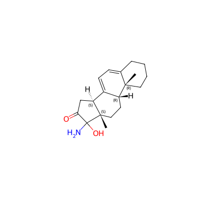 C[C@]12CCCCC1=CC=C1[C@H]2CC[C@@]2(C)[C@H]1CC(=O)C2(N)O